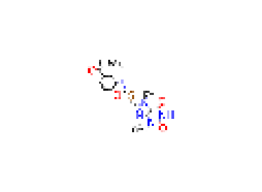 CCCCn1c(=O)[nH]c(=O)c2c1nc(CSc1nc3cc(C(=O)OC)ccc3o1)n2CC